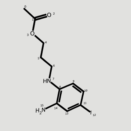 CC(=O)OCCCNc1ccc(I)cc1N